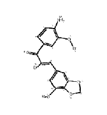 CCOc1cc(C(=O)/C(=C/c2cc(OC)c3c(c2)OCO3)CC)ccc1N